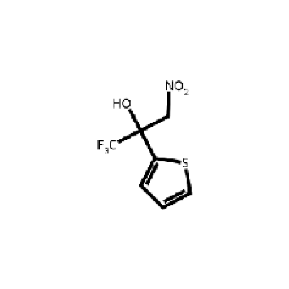 O=[N+]([O-])CC(O)(c1cccs1)C(F)(F)F